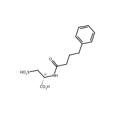 O=C(CCCc1ccccc1)N[C@@H](CS(=O)(=O)O)C(=O)O